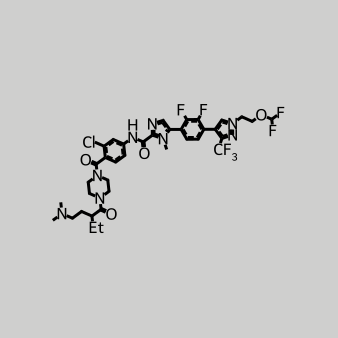 CCC(CCN(C)C)C(=O)N1CCN(C(=O)c2ccc(NC(=O)c3ncc(-c4ccc(-c5cn(CCOC(F)F)nc5C(F)(F)F)c(F)c4F)n3C)cc2Cl)CC1